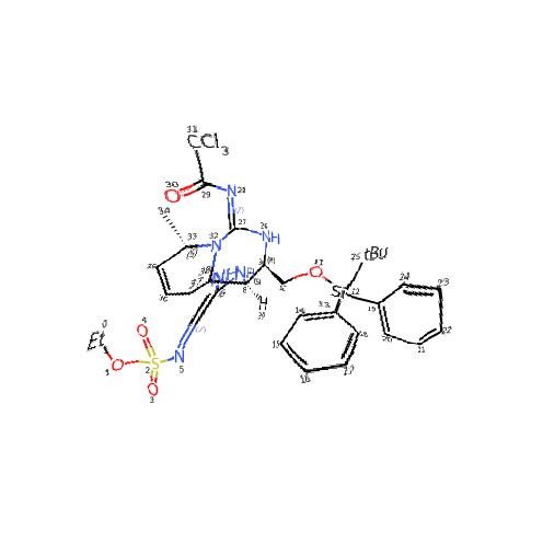 CCOS(=O)(=O)/N=C1/N[C@H]2[C@H](CO[Si](c3ccccc3)(c3ccccc3)C(C)(C)C)N/C(=N/C(=O)C(Cl)(Cl)Cl)N3[C@@H](C)C=CC23N1